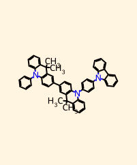 CC1(C)c2ccccc2N(c2ccccc2)c2ccc(-c3ccc4c(c3)C(C)(C)c3ccccc3N4c3ccc(-n4c5ccccc5c5ccccc54)cc3)cc21